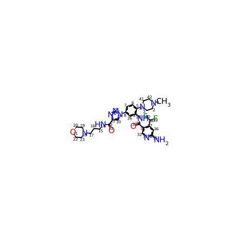 CN1CCN(c2ccc(-n3cc(C(=O)NCCCN4CCOCC4)nn3)cc2NC(=O)c2cnc(N)cc2C(F)F)CC1